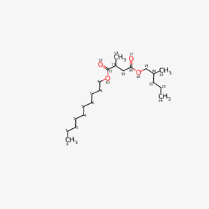 CCCCCCCCCCOC(=O)C(C)CC(=O)OCC(C)CCC